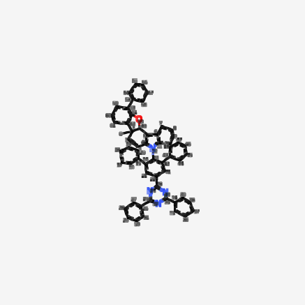 CC12C=Cc3c(c4ccccc4n3-c3c(-c4ccccc4)cc(-c4nc(-c5ccccc5)nc(-c5ccccc5)n4)cc3-c3ccccc3)C1Oc1c(-c3ccccc3)cccc12